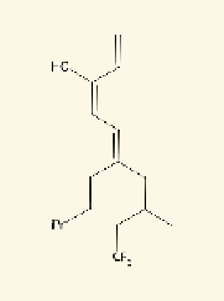 C=C/C(O)=C\C=C(/CCC(C)C)CC(C)CC(F)(F)F